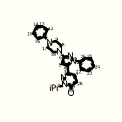 CC(C)n1nc(-c2cc(N3CCN(c4ccccc4)CC3)nn2-c2ccccc2)ccc1=O